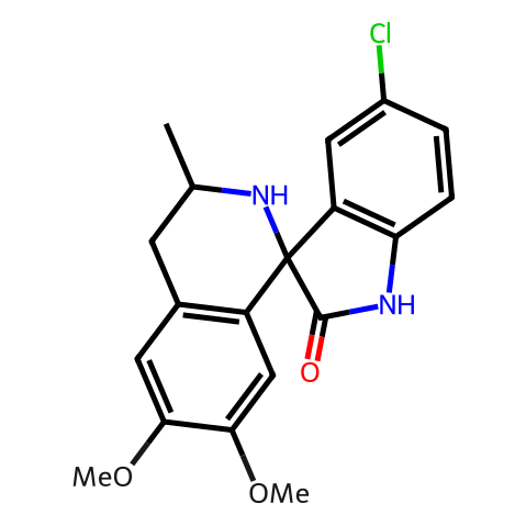 COc1cc2c(cc1OC)C1(NC(C)C2)C(=O)Nc2ccc(Cl)cc21